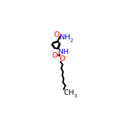 CCCCCCCCCCOC(=O)Nc1cccc(C(N)=O)c1